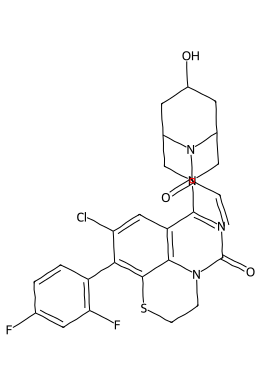 C=CC(=O)N1C2CC(O)CC1CN(c1nc(=O)n3c4c(c(-c5ccc(F)cc5F)c(Cl)cc14)SCC3)C2